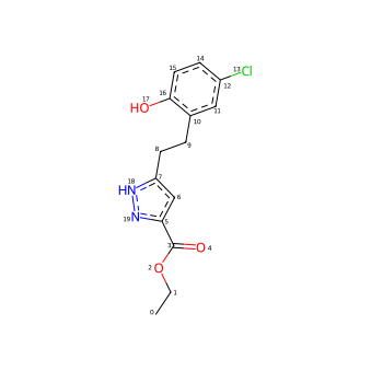 CCOC(=O)c1cc(CCc2cc(Cl)ccc2O)[nH]n1